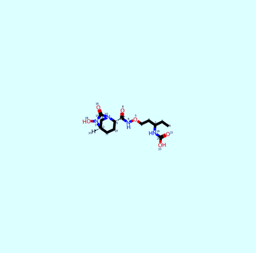 CCC(CCONC(=O)[C@@H]1CC[C@@H]2CN1C(=O)N2O)NC(=O)O